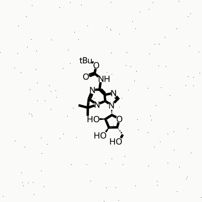 CC(C)(C)OC(=O)NC1=C2N=CN([C@@H]3O[C@H](CO)[C@@H](O)[C@H]3O)C2N2C(=N1)C2(C)C